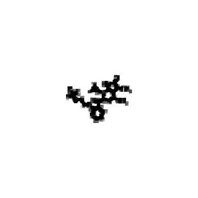 CC1C(=O)NC2=C1C(N)=NC(c1nn(CCOC(F)(F)F)c3ncccc13)N2C1CC1